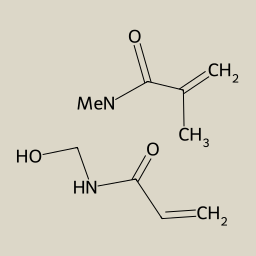 C=C(C)C(=O)NC.C=CC(=O)NCO